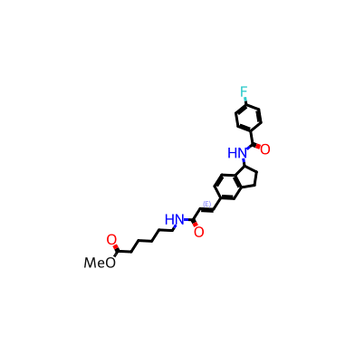 COC(=O)CCCCCNC(=O)/C=C/c1ccc2c(c1)CCC2NC(=O)c1ccc(F)cc1